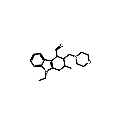 CCn1c2c(c3ccccc31)C(C=O)C(CN1CCOCC1)C(C)C2